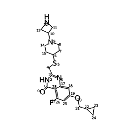 O=c1[nH]c(CSC2CCN(C3CNC3)CC2)nc2cc(OCC3CC3)cc(F)c12